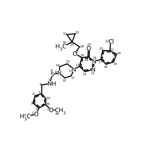 COc1ccc(CNSN2CCN(c3cnn(-c4cccc(Cl)c4)c(=O)c3OCC3(C)CC3)CC2)cc1OC